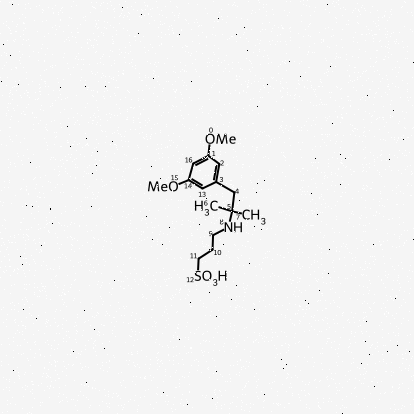 COc1cc(CC(C)(C)NCCCS(=O)(=O)O)cc(OC)c1